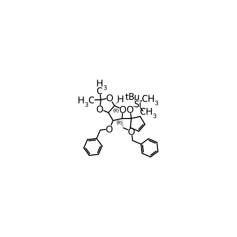 CC1(C)OC2C(OCc3ccccc3)[C@](COCc3ccccc3)(C3(O[Si](C)(C)C(C)(C)C)CC=CC3)O[C@@H]2O1